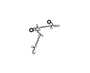 CNC(Cc1ccccc1)C(=O)OCCCCCCOC(=O)C(Cc1ccccc1)NC(=O)CCC(=O)OCCCCCCOC(=O)CCC(C)=O